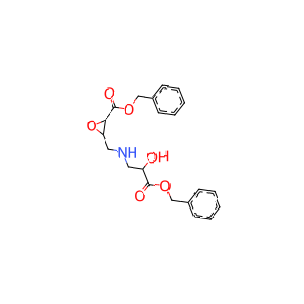 O=C(OCc1ccccc1)C(O)CNCC1OC1C(=O)OCc1ccccc1